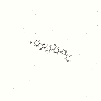 O=C(Nc1ccc(C(F)(F)F)cn1)N1CC=C(c2ncc(-c3nnc([C@@H](O)CO)o3)cc2Cl)CC1